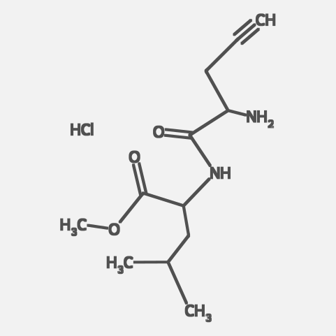 C#CCC(N)C(=O)NC(CC(C)C)C(=O)OC.Cl